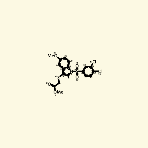 COC(=O)CSc1cn(S(=O)(=O)c2ccc(Cl)c(Cl)c2)c2ccc(OC)cc12